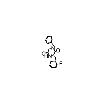 O=C1CN(Cc2ccccc2)C(=O)[C@@H](CC2CC=CC=C2F)N1